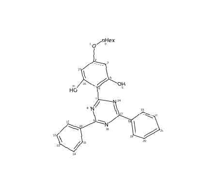 CCCCCCOc1cc(O)c(-c2nc(-c3ccccc3)nc(-c3ccccc3)n2)c(O)c1